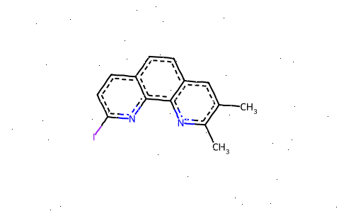 Cc1cc2ccc3ccc(I)nc3c2nc1C